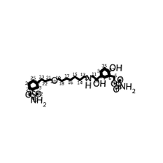 NS(=O)(=O)OCc1cc([C@@H](O)CNCCCCCCCOCCCc2cccc(S(N)(=O)=O)c2)ccc1O